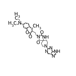 CCN(CC)c1ccc2c(C)c(CCN3C(=O)NC4(CCN(c5ncc6nc[nH]c6n5)CC4)C3=O)c(=O)oc2c1